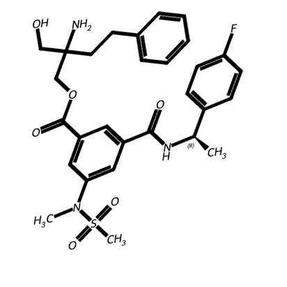 C[C@@H](NC(=O)c1cc(C(=O)OCC(N)(CO)CCc2ccccc2)cc(N(C)S(C)(=O)=O)c1)c1ccc(F)cc1